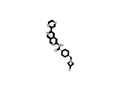 O=C(Nc1cc2cc(-c3cnccn3)ncc2cn1)[C@H]1CC[C@H](CN2CC(F)C2)CC1